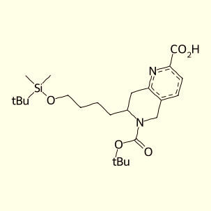 CC(C)(C)OC(=O)N1Cc2ccc(C(=O)O)nc2CC1CCCCO[Si](C)(C)C(C)(C)C